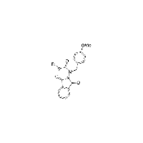 CCSC(=O)N(Cc1ccc(OC)cc1)N1C(=O)c2ccccc2C1=O